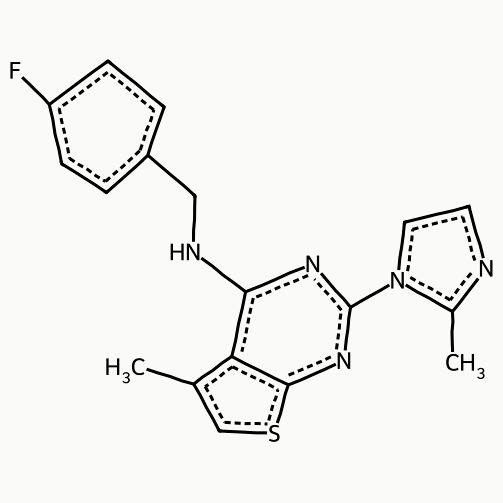 Cc1csc2nc(-n3ccnc3C)nc(NCc3ccc(F)cc3)c12